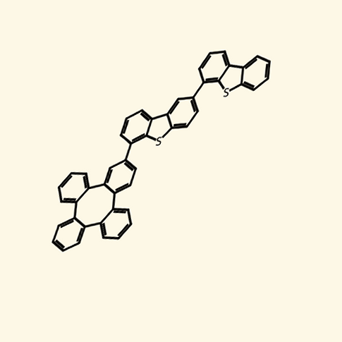 c1ccc2c(c1)-c1ccccc1-c1ccc(-c3cccc4c3sc3ccc(-c5cccc6c5sc5ccccc56)cc34)cc1-c1ccccc1-2